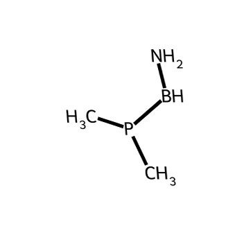 CP(C)BN